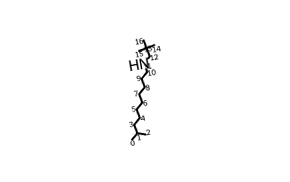 CC(C)CCCCCCCCNCC(C)(C)C